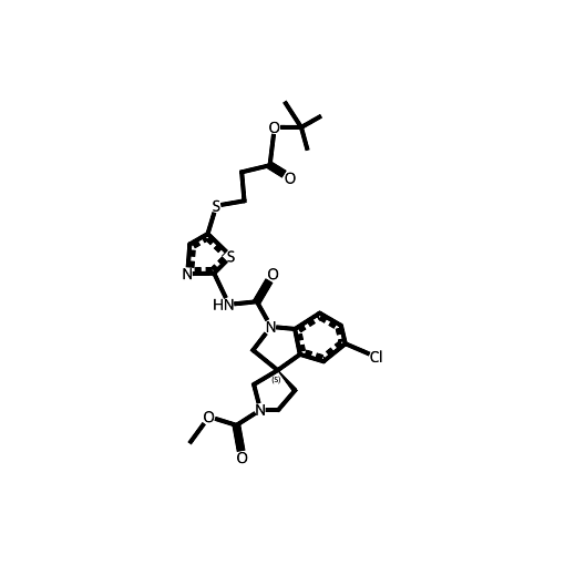 COC(=O)N1CC[C@@]2(C1)CN(C(=O)Nc1ncc(SCCC(=O)OC(C)(C)C)s1)c1ccc(Cl)cc12